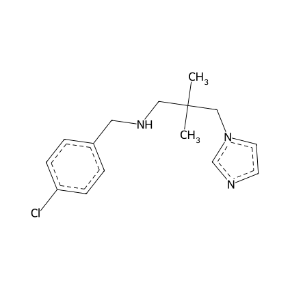 CC(C)(CNCc1ccc(Cl)cc1)Cn1ccnc1